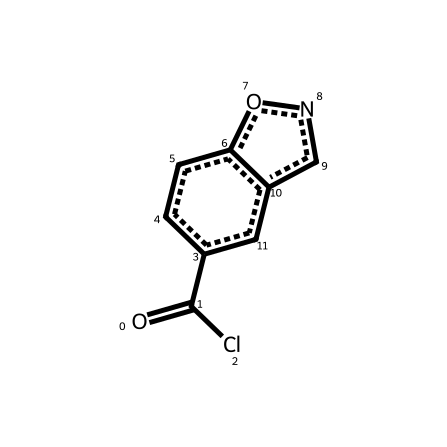 O=C(Cl)c1ccc2oncc2c1